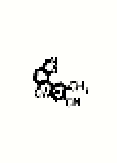 COc1ccc2cnsc2c1-c1ccc(C#N)c(C)c1